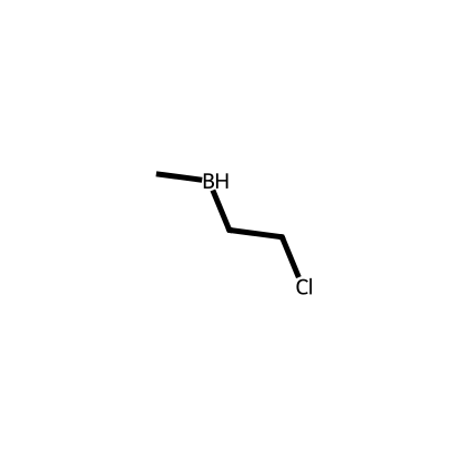 CBCCCl